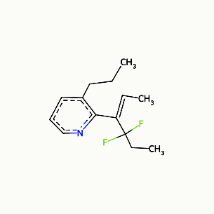 C/C=C(/c1ncccc1CCC)C(F)(F)CC